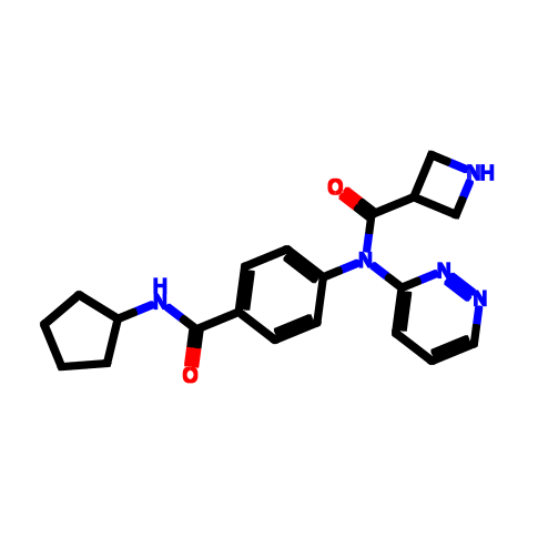 O=C(NC1CCCC1)c1ccc(N(C(=O)C2CNC2)c2cccnn2)cc1